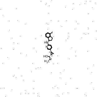 COC(O)[C@H]1C[C@@H]1c1ccc(N[C@@H]2CCc3c(I)cccc32)nc1